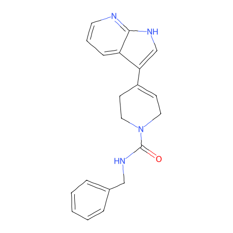 O=C(NCc1ccccc1)N1CC=C(c2c[nH]c3ncccc23)CC1